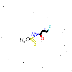 CS(=S)NC(=O)/C=C/F